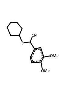 COc1ccc(C(C#N)SC2CCCCC2)cc1OC